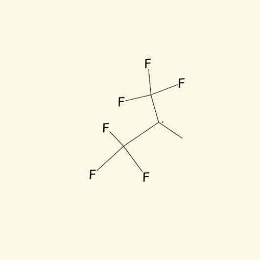 C[C](C(F)(F)F)C(F)(F)F